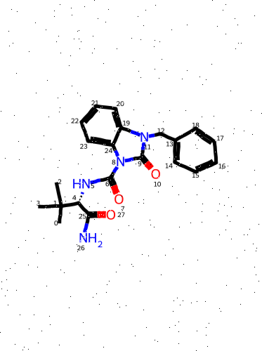 CC(C)(C)[C@H](NC(=O)n1c(=O)n(Cc2ccccc2)c2ccccc21)C(N)=O